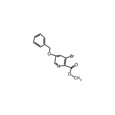 COC(=O)c1ncc(OCc2ccccc2)cc1Br